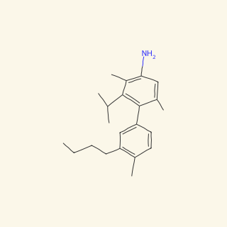 CCCCc1cc(-c2c(C)cc(N)c(C)c2C(C)C)ccc1C